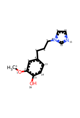 COc1cc(CCCn2ccnc2)ccc1O